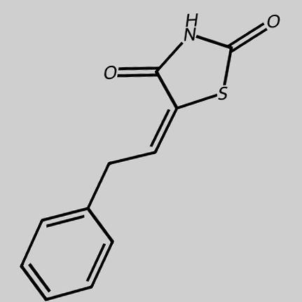 O=C1NC(=O)C(=CCc2ccccc2)S1